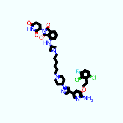 Nc1ncc(-c2cnn(C3CCN(CCCCCCN4CC(Nc5cccc6c5C(=O)N([C@H]5CCC(=O)NC5=O)C6=O)C4)CC3)c2)cc1OCCc1c(Cl)ccc(F)c1Cl